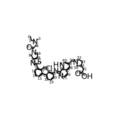 CCN(C)CC(=O)N1Cc2nc(-c3cccc(-c4cccc(Nc5nccc6cc(CN7CCC(CC(=O)O)C7)cnc56)c4Cl)c3C)sc2C1